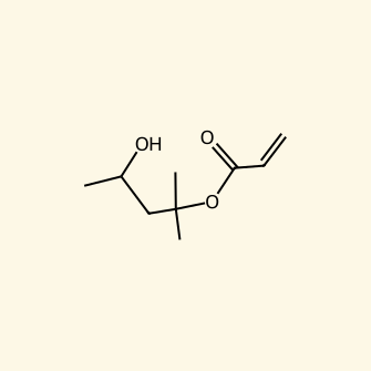 C=CC(=O)OC(C)(C)CC(C)O